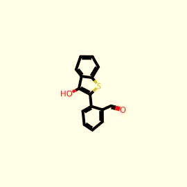 O=Cc1ccccc1-c1sc2ccccc2c1O